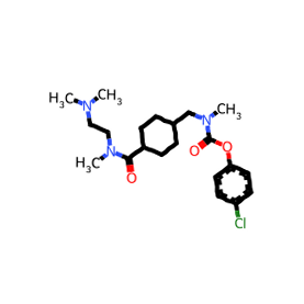 CN(C)CCN(C)C(=O)C1CCC(CN(C)C(=O)Oc2ccc(Cl)cc2)CC1